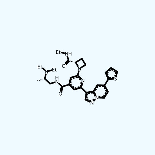 CCNC(=O)[C@@H]1CCN1c1cc(C(=O)NC[C@H](C)N(CC)CC)cc(-c2cnn3ccc(-c4cccs4)cc23)n1